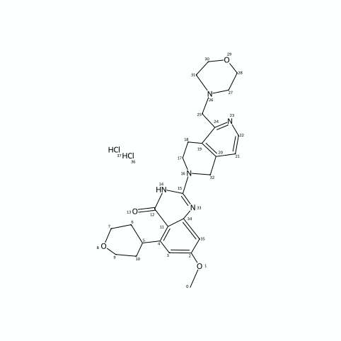 COc1cc(C2CCOCC2)c2c(=O)[nH]c(N3CCc4c(ccnc4CN4CCOCC4)C3)nc2c1.Cl.Cl